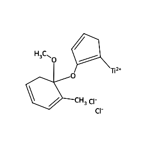 COC1(OC2=[C]([Ti+2])CC=C2)CC=CC=C1C.[Cl-].[Cl-]